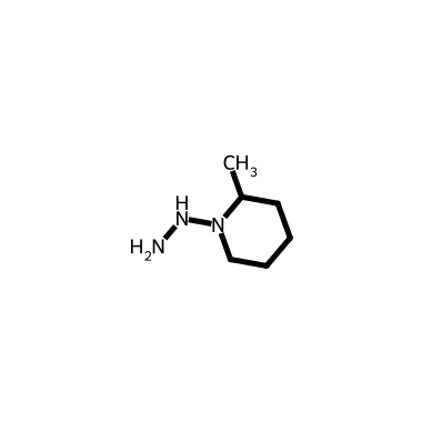 CC1CCCCN1NN